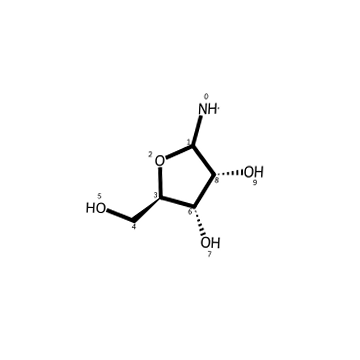 [NH]C1O[C@H](CO)[C@@H](O)[C@H]1O